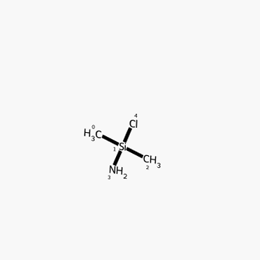 C[Si](C)(N)Cl